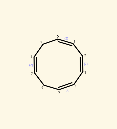 [C]1=C/C=C\C=C/C/C=C\C\1